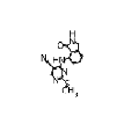 CSc1ncc(C#N)c(Nc2cccc3c2C(=O)NC3)n1